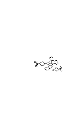 O=[N+]([O-])c1ccc(Oc2cc(P3(=O)Oc4ccccc4-c4ccccc43)c(Oc3ccc([N+](=O)[O-])cc3)c3ccccc23)cc1